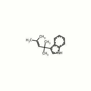 CC(C)=CC(C)(C)c1c[nH]c2ccccc12